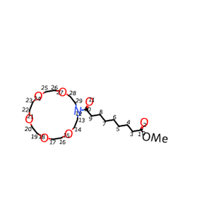 COC(=O)CCCCCCCC(=O)N1CCOCCOCCOCCOCCOCC1